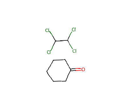 ClC(Cl)C(Cl)Cl.O=C1CCCCC1